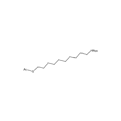 CCCCCCCCCCCCCCCCCCCSC(C)=O